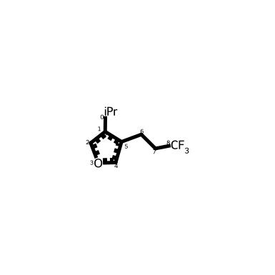 CC(C)c1cocc1CCC(F)(F)F